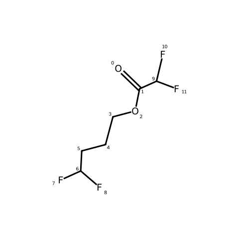 O=C(OCCCC(F)F)C(F)F